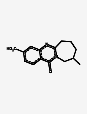 CC1CCCc2nc3cc(C(=O)O)ccc3c(=O)n2C1